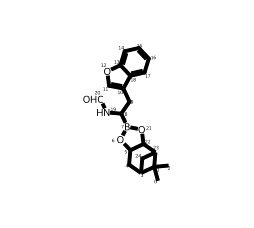 CC1(C)C2CC3OB(C(Cc4coc5ccccc45)NC=O)OC3C1C2